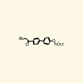 CCCCCCCCOc1ccc(-c2ccc(C(=O)CC(C)CC)cc2)cc1